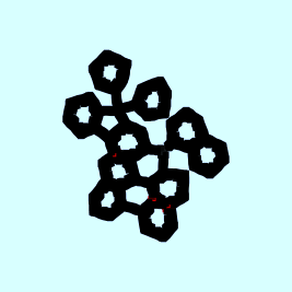 c1ccc(-c2cccc3cccc(-c4ccccc4N(c4ccc5c(c4)C(c4ccccc4)(c4ccccc4)c4ccccc4-5)c4cccc5ccccc45)c23)cc1